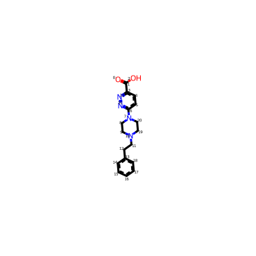 O=C(O)c1ccc(N2CCN(CCc3ccccc3)CC2)nn1